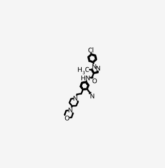 Cc1c(C(=O)Nc2ccc(CCN3CCC(N4CCOCC4)CC3)c(C#N)c2)cnn1-c1ccc(Cl)cc1